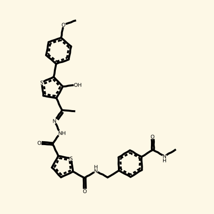 CNC(=O)c1ccc(CNC(=O)c2ccc(C(=O)N/N=C(\C)c3csc(-c4ccc(OC)cc4)c3O)s2)cc1